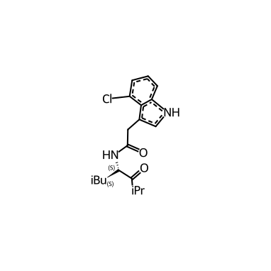 CC[C@H](C)[C@H](NC(=O)Cc1c[nH]c2cccc(Cl)c12)C(=O)C(C)C